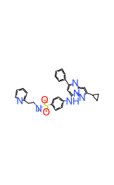 CN(CCc1ccccn1)S(=O)(=O)c1ccc(Nc2cc(-c3ccccc3)nc3cc(C4CC4)nn23)cc1